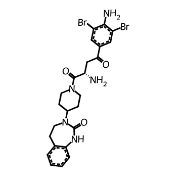 Nc1c(Br)cc(C(=O)C[C@H](N)C(=O)N2CCC(N3CCc4ccccc4NC3=O)CC2)cc1Br